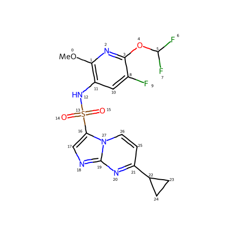 COc1nc(OC(F)F)c(F)cc1NS(=O)(=O)c1cnc2nc(C3CC3)ccn12